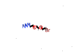 [N-]=[N+]=NCCOCCOCCBr